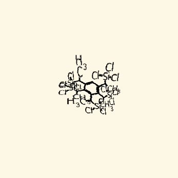 CC(c1cc(C(C)[Si](Cl)(Cl)Cl)c(C(C)[Si](Cl)(Cl)Cl)c(C(C)[Si](Cl)(Cl)Cl)c1C(C)[Si](Cl)(Cl)Cl)[Si](Cl)(Cl)Cl